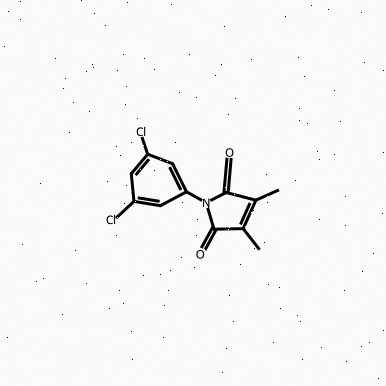 CC1=C(C)C(=O)N(c2cc(Cl)cc(Cl)c2)C1=O